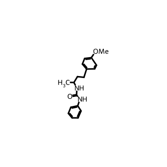 COc1ccc(CCC(C)NC(=O)Nc2ccccc2)cc1